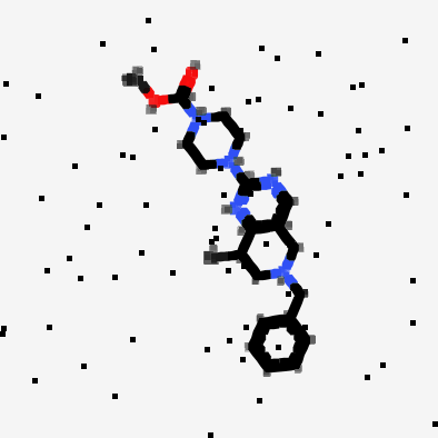 CCC1CN(Cc2ccccc2)Cc2cnc(N3CCN(C(=O)OC(C)(C)C)CC3)nc21